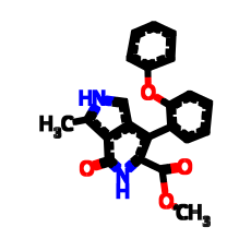 COC(=O)c1[nH]c(=O)c2c(C)[nH]cc2c1-c1ccccc1Oc1ccccc1